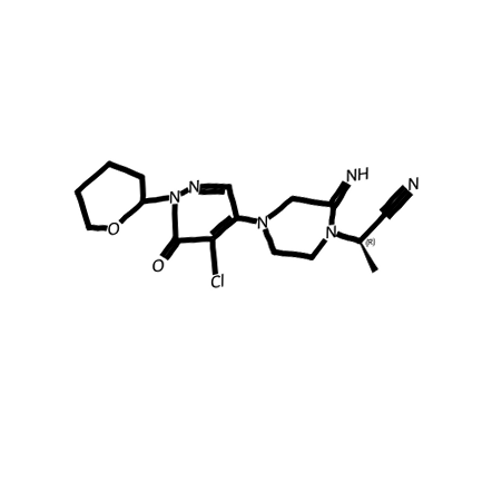 C[C@H](C#N)N1CCN(c2cnn(C3CCCCO3)c(=O)c2Cl)CC1=N